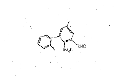 Cc1cc(C=O)c(S(=O)(=O)O)c(-c2ccccc2C)c1